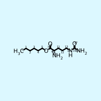 CCCCCCOC(=O)[C@@H](N)CCCNC(N)=O